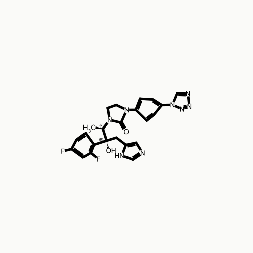 C[C@@H](N1CCN(c2ccc(-n3cnnn3)cc2)C1=O)[C@@](O)(Cc1cnc[nH]1)c1ccc(F)cc1F